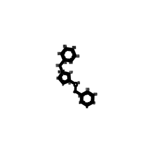 c1ccc(COc2ccn(Cc3ccccc3)c2)cc1